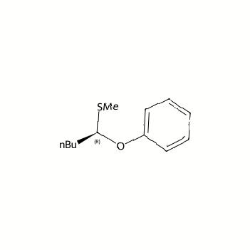 CCCC[C@H](Oc1ccccc1)SC